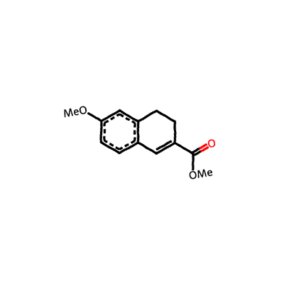 COC(=O)C1=Cc2ccc(OC)cc2CC1